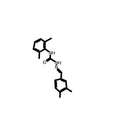 Cc1ccc(/C=N/NC(=O)Nc2c(C)cccc2C)cc1C